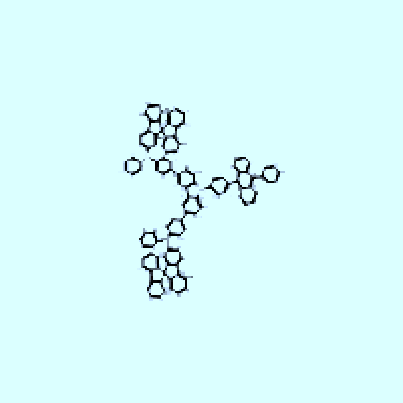 c1ccc(-c2c3ccccc3c(-c3ccc(-n4c5ccc(-c6ccc(N(c7ccccc7)c7ccc8c(c7)C7(c9ccccc9-c9ccccc97)c7ccccc7-8)cc6)cc5c5cc(-c6ccc(N(c7ccccc7)c7ccc8c(c7)C7(c9ccccc9-c9ccccc97)c7ccccc7-8)cc6)ccc54)cc3)c3ccccc23)cc1